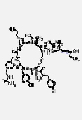 C=C/C(O)=C\C=C(/C)C[C@@H](NC(=O)[C@@H]1CSSC[C@@H](NC(=O)[C@@H](N)Cc2ccc(Cl)cc2)C(=O)N[C@@H](Cc2ccc(O)cc2)C(=O)N[C@H](Cc2ccc(CNC(N)=O)cc2)C(=O)N[C@@H](CCCCN)C(=O)N[C@@H]([C@@H](C)O)C(=O)N1)C(N)=O